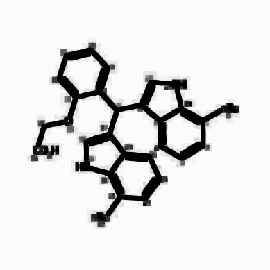 CCCCc1cccc2c(C(c3ccccc3OCC(=O)O)c3c[nH]c4c(CCCC)cccc34)c[nH]c12